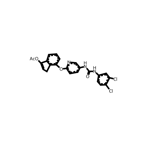 CC(=O)OC1=CCc2c(Oc3ccc(NC(=O)Nc4ccc(Cl)c(Cl)c4)cn3)cccc21